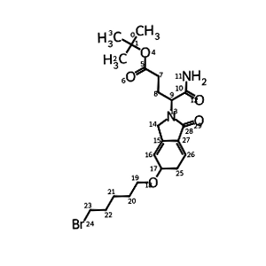 CC(C)(C)OC(=O)CCC(C(N)=O)N1CC2=CC(OCCCCCBr)CC=C2C1=O